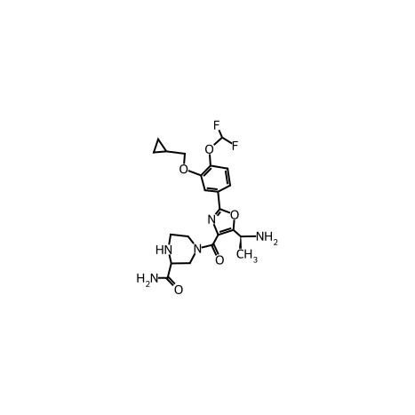 C[C@H](N)c1oc(-c2ccc(OC(F)F)c(OCC3CC3)c2)nc1C(=O)N1CCNC(C(N)=O)C1